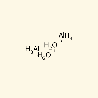 O.O.[AlH3].[AlH3]